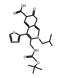 CC(C)CN1C=C2CC(=O)C(C(=O)O)C=C2C(c2cccs2)=C1CNC(=O)OC(C)(C)C